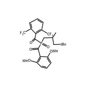 COc1cccc(OC)c1C(=O)P(=O)(CC(C)CC(C)(C)C)C(=O)c1c(C(F)(F)F)cccc1C(F)(F)F